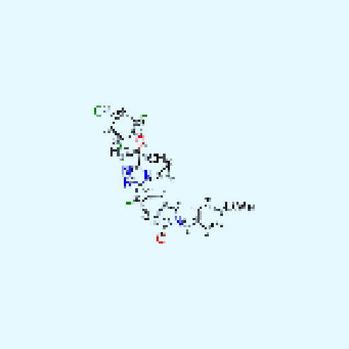 COc1ccc(CN2Cc3cc(-c4nnc(C(C)(C)Oc5c(F)cc(Cl)cc5F)n4C4CC4)c(F)cc3C2=O)cc1